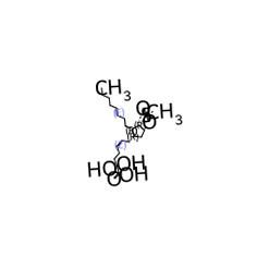 CCCC/C=C/CC[C@@H]1[C@@H](C/C=C\CCC(O)(O)C(=O)O)CC[C@H]1CS(C)(=O)=O